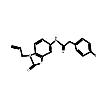 C=CCn1c(=O)sc2cc(NC(=O)Cc3ccc(F)cc3)ccc21